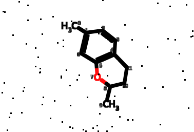 Cc1ccc2c(c1)OC(C)CC2